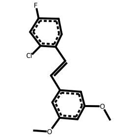 COc1cc(C=Cc2ccc(F)cc2Cl)cc(OC)c1